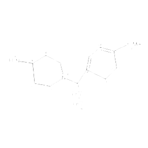 COc1ccc(CN2CCC(N)CC2)cc1.Cl.Cl